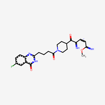 COC(=N)/C=C\C(=N)C(=O)C1CCN(C(=O)CCCc2nc3ccc(F)cc3c(=O)[nH]2)CC1